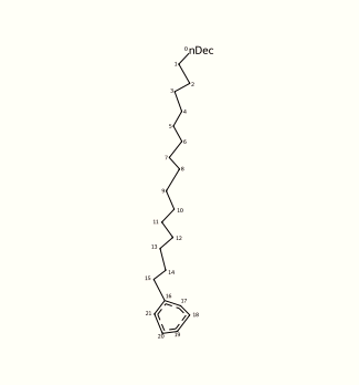 CCCCCCCCCCCCCCCCCCCCCCCCCc1ccccc1